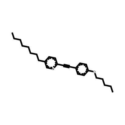 CCCCCCCCc1ccc(C#Cc2ccc(OCCCCC)cc2)nc1